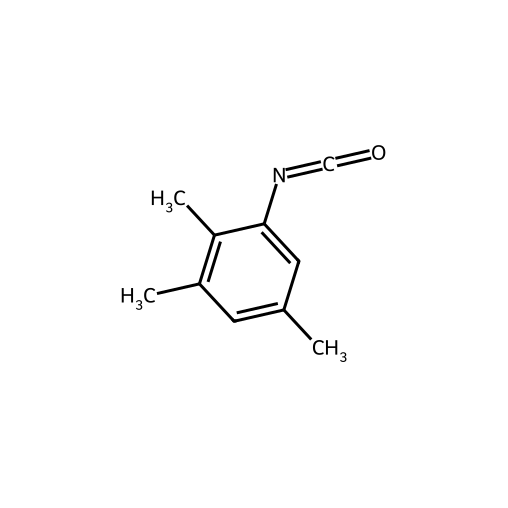 Cc1cc(C)c(C)c(N=C=O)c1